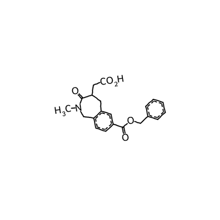 CN1Cc2ccc(C(=O)OCc3ccccc3)cc2CC(CC(=O)O)C1=O